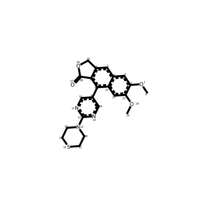 COc1cc2cc3c(c(-c4cnc(N5CCSCC5)nc4)c2cc1OC)C(=O)OC3